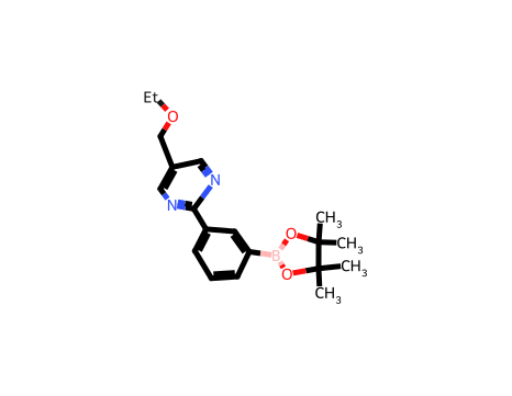 CCOCc1cnc(-c2cccc(B3OC(C)(C)C(C)(C)O3)c2)nc1